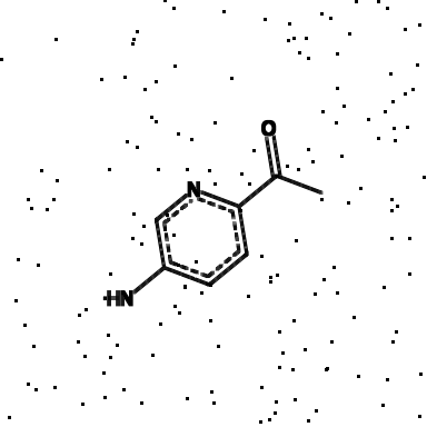 CC(=O)c1ccc([NH])cn1